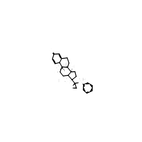 C[C@H]1C[C@H]2[C@@H]3CCC4=CC(=O)C=C[C@]4(C)[C@@]3(F)[C@@H](O)C[C@]2(C)[C@@]1(O)C1(Oc2ccccc2)CO1